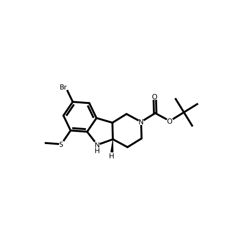 CSc1cc(Br)cc2c1N[C@H]1CCN(C(=O)OC(C)(C)C)CC21